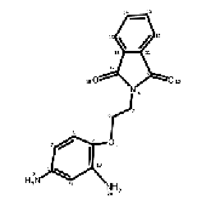 Nc1ccc(OCCN2C(=O)c3ccccc3C2=O)c(N)c1